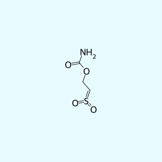 NC(=O)OCC=S(=O)=O